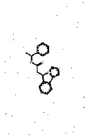 CC(NC(=O)CC1c2ccccc2-c2cncn21)c1ccccc1